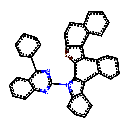 c1ccc(-c2nc(-n3c4ccccc4c4c5ccccc5c5c(sc6ccc7ccccc7c65)c43)nc3ccccc23)cc1